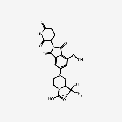 COc1cc(N2CCN(C(=O)O)C(C(C)(C)C)C2)cc2c1C(=O)N(C1CCC(=O)NC1=O)C2=O